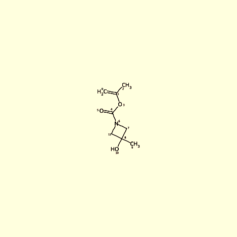 C=C(C)OC(=O)N1CC(C)(O)C1